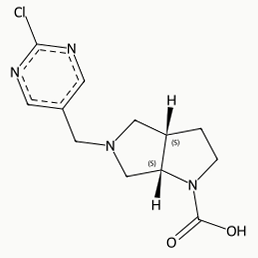 O=C(O)N1CC[C@H]2CN(Cc3cnc(Cl)nc3)C[C@H]21